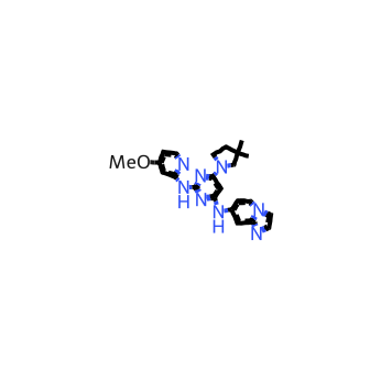 COc1ccnc(Nc2nc(Nc3ccn4ccnc4c3)cc(N3CCC(C)(C)C3)n2)c1